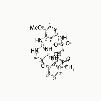 COc1ccc(NS(=O)(=O)CCl)cc1NC1NCC(Cl)C(Nc2ccccc2P(C)(C)=O)N1